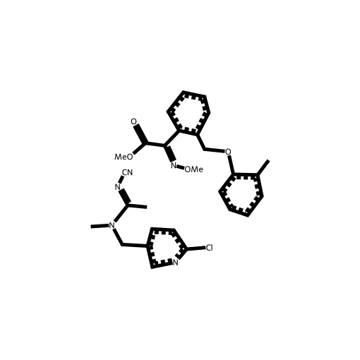 C/C(=N\C#N)N(C)Cc1ccc(Cl)nc1.CO/N=C(/C(=O)OC)c1ccccc1COc1ccccc1C